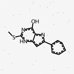 CSc1nc(O)c2nc(-c3ccccc3)cc-2[nH]1